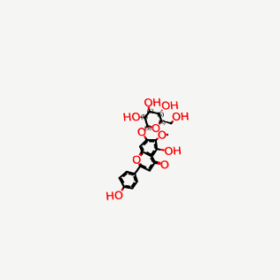 COc1c(O[C@@H]2O[C@H](CO)[C@@H](O)[C@H](O)[C@H]2O)cc2oc(-c3ccc(O)cc3)cc(=O)c2c1O